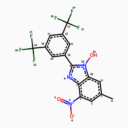 Cc1cc([N+](=O)[O-])c2nc(-c3cc(C(F)(F)F)cc(C(F)(F)F)c3)n(O)c2c1